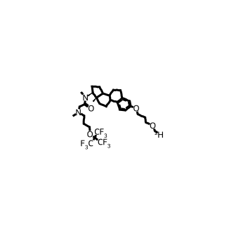 [2H]COCCCOc1ccc2c(c1)CCC1C2CC[C@@]2(C)C1CC[C@@H]2N(C)C(=O)CN(C)CCCOC(C(F)(F)F)(C(F)(F)F)C(F)(F)F